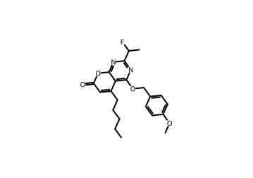 CCCCCc1cc(=O)oc2nc(C(C)F)nc(OCc3ccc(OC)cc3)c12